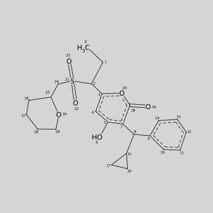 CCC(c1cc(O)c(C(c2ccccc2)C2CC2)c(=O)o1)S(=O)(=O)CC1CCCCO1